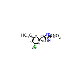 CC1(C(=O)O)C=C(Br)C=C(C(=O)O)C1.O=[N+]([O-])c1ncc[nH]1